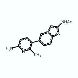 CC(=O)Nc1cn2cc(-c3ccc(N)nc3C)ccc2n1